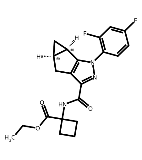 CCOC(=O)C1(NC(=O)c2nn(-c3ccc(F)cc3F)c3c2C[C@H]2C[C@@H]32)CCC1